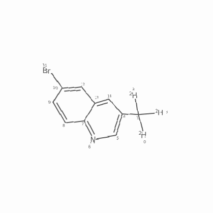 [2H]C([2H])([2H])c1cnc2ccc(Br)cc2c1